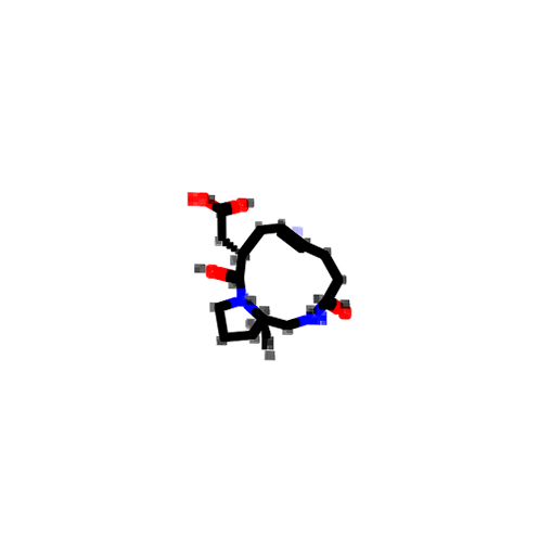 O=C(O)C[C@@H]1C/C=C/CCC(=O)NC[C@@H]2CCCN2C1=O